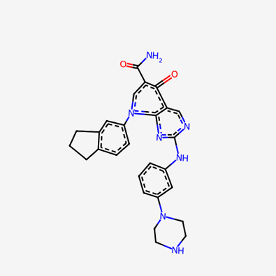 NC(=O)c1cn(-c2ccc3c(c2)CCC3)c2nc(Nc3cccc(N4CCNCC4)c3)ncc2c1=O